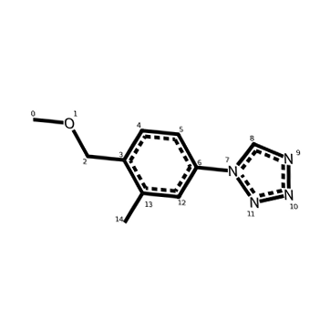 COCc1ccc(-n2cnnn2)cc1C